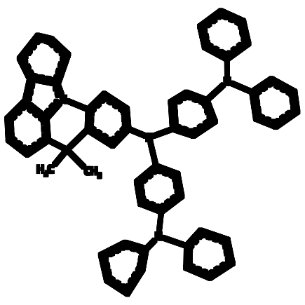 CC1(C)c2cc(N(c3ccc(N(c4ccccc4)c4ccccc4)cc3)c3ccc(N(c4ccccc4)c4ccccc4)cc3)ccc2-n2c3ccccc3c3cccc1c32